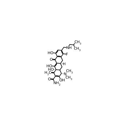 C=C1C(C(N)=O)=C(O)[C@@H](N(C)C)C2C[C@@H]3Cc4c(F)c(CNCC(C)C)cc(O)c4C(=O)C3=C(O)[C@]12O